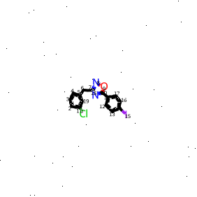 Clc1cccc(Cc2noc(-c3ccc(I)cc3)n2)c1